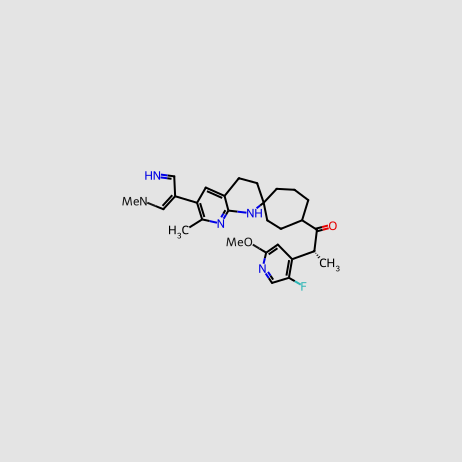 CN/C=C(\C=N)c1cc2c(nc1C)NC1(CCCC(C(=O)[C@H](C)c3cc(OC)ncc3F)CC1)CC2